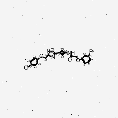 O=C(COc1cccc(F)c1)NC12CC(c3nc(COc4ccc(Cl)cc4)no3)(C1)C2